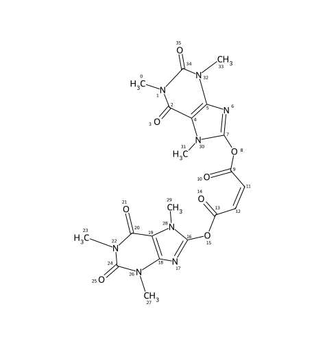 Cn1c(=O)c2c(nc(OC(=O)/C=C\C(=O)Oc3nc4c(c(=O)n(C)c(=O)n4C)n3C)n2C)n(C)c1=O